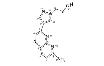 Nc1ccc2ncc(-c3cnn(CCO)c3)nc2n1